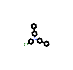 ClC1=CCC(N(c2ccc(-c3ccccc3)cc2)c2ccc(-c3ccccc3)cc2)C=C1